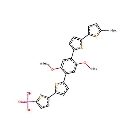 CCCCCCOc1cc(-c2ccc(-c3ccc(P(=O)(O)O)s3)s2)c(OCCCCCC)cc1-c1ccc(-c2ccc(CCCCCC)s2)s1